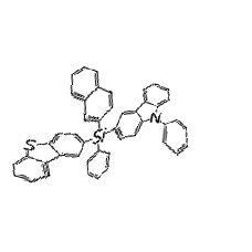 c1ccc(-n2c3ccccc3c3cc([Si](c4ccccc4)(c4ccc5ccccc5c4)c4ccc5sc6ccccc6c5c4)ccc32)cc1